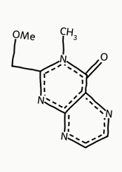 COCc1nc2nccnc2c(=O)n1C